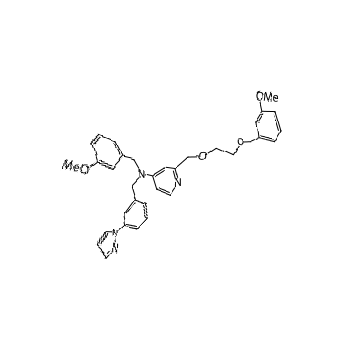 COc1cccc(COCCOCc2cc(N(Cc3cccc(OC)c3)Cc3cccc(-n4cccn4)c3)ccn2)c1